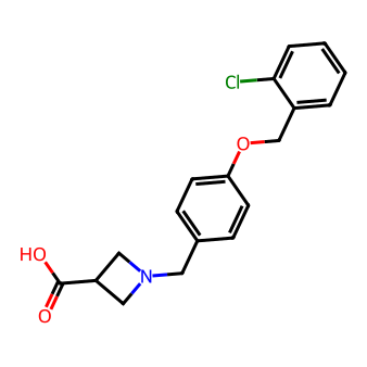 O=C(O)C1CN(Cc2ccc(OCc3ccccc3Cl)cc2)C1